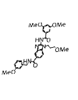 COCCCn1c(NC(=O)c2cc(OC)cc(OC)c2)nc2cc(C(=O)NCc3cccc(OC)c3)ccc21